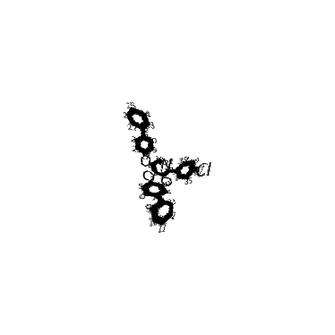 O=C1C(Oc2ccc(-c3ccccc3)cc2)=C(Oc2ccc(-c3ccccc3)cc2)C=NC1c1ccc(Cl)cc1